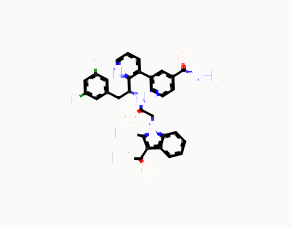 CC(=O)c1c(C)n(CC(=O)NC(Cc2cc(F)cc(F)c2)c2ncccc2-c2cccc(C(N)=O)c2)c2ccccc12